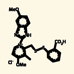 COc1ccc2[nH]c(-[n+]3ccc(OC)c(C)c3CSSc3ccccc3C(=O)O)nc2c1.[Cl-]